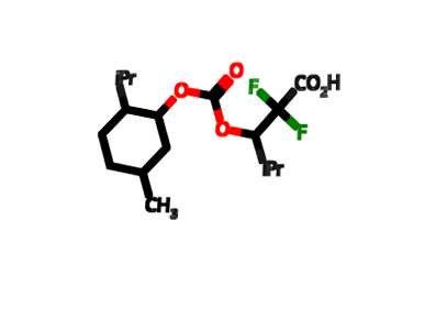 CC1CCC(C(C)C)C(OC(=O)OC(C(C)C)C(F)(F)C(=O)O)C1